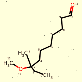 CCC(C)(CCCCCCC=O)OC